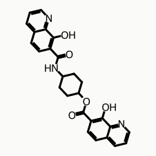 O=C(NC1CCC(OC(=O)c2ccc3cccnc3c2O)CC1)c1ccc2cccnc2c1O